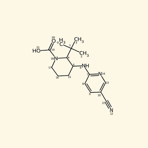 CC(C)(C)C1C(Nc2ccc(C#N)cn2)CCCN1C(=O)O